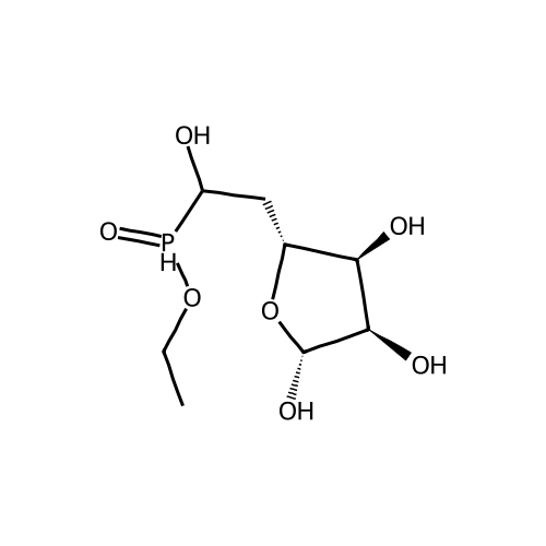 CCO[PH](=O)C(O)C[C@H]1O[C@@H](O)[C@H](O)[C@@H]1O